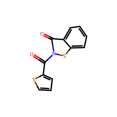 O=C(c1cccs1)n1sc2ccccc2c1=O